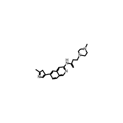 C=C(CCN1CCN(C)CC1)Nc1cc2cc(C3=CN=C(C)C3)ccc2cn1